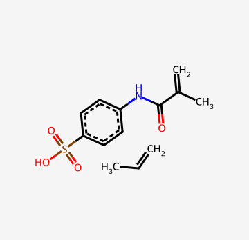 C=C(C)C(=O)Nc1ccc(S(=O)(=O)O)cc1.C=CC